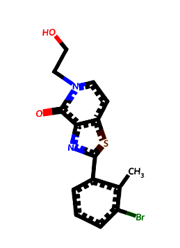 Cc1c(Br)cccc1-c1nc2c(=O)n(CCO)ccc2s1